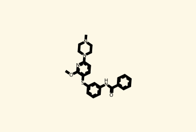 COc1nc(N2CCN(C)CC2)ccc1Sc1cccc(NC(=O)c2ccccc2)c1